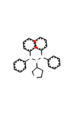 c1ccc(P(c2ccccc2)N(C2CCOC2)P(c2ccccc2)c2ccccc2)cc1